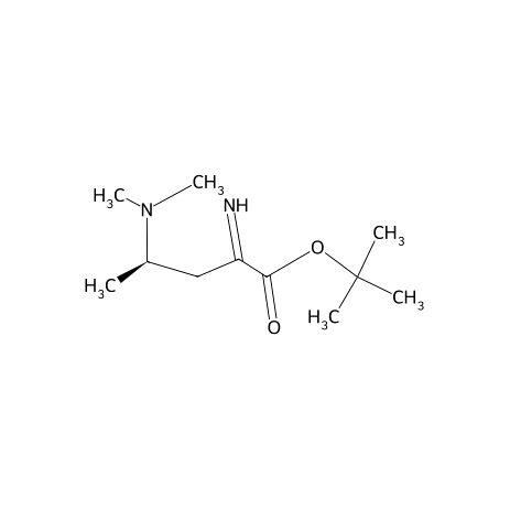 C[C@H](CC(=N)C(=O)OC(C)(C)C)N(C)C